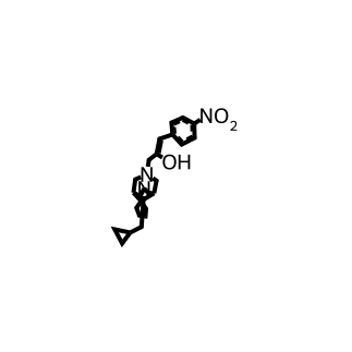 O=[N+]([O-])c1ccc(C=C(O)CN2CC3CN(CC4CC4)CC(C2)C32CCCC2)cc1